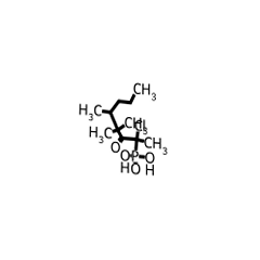 CCCC(C)C(C)(C)C(=O)C(C)(Cl)P(=O)(O)O